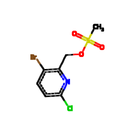 CS(=O)(=O)OCc1nc(Cl)ccc1Br